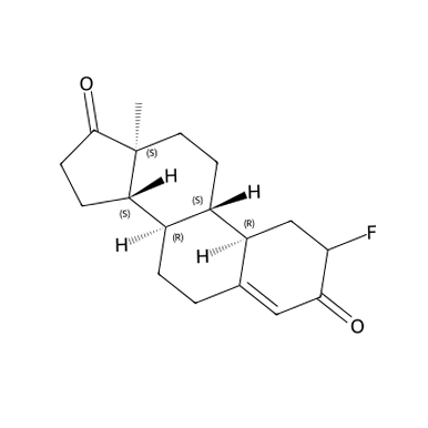 C[C@]12CC[C@H]3[C@@H](CCC4=CC(=O)C(F)C[C@@H]43)[C@@H]1CCC2=O